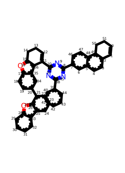 C1=Cc2ccc3cc(-c4nc(C5=CCCc6oc7ccc(-c8cccc9c8oc8ccccc89)cc7c65)nc(-c5ccccc5)n4)ccc3c2CC1